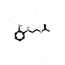 C=C(C)OCCNc1ccccc1S